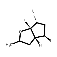 CC1C[C@@H]2[C@H](O1)[C@H](I)C[C@H]2I